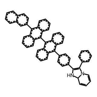 C1=CC2NC(c3ccc(-c4c5ccccc5c(-c5c6ccccc6c(-c6ccc7ccccc7c6)c6ccccc56)c5ccccc45)cc3)=C(c3ccccc3)N2C=C1